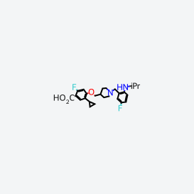 CC(C)Nc1ccc(F)cc1CN1CCC(COc2cc(F)c(C(=O)O)cc2C2CC2)CC1